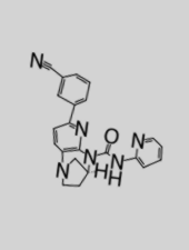 N#Cc1cccc(-c2ccc3c(n2)N(C(=O)Nc2ccccn2)[C@H]2CCN3C2)c1